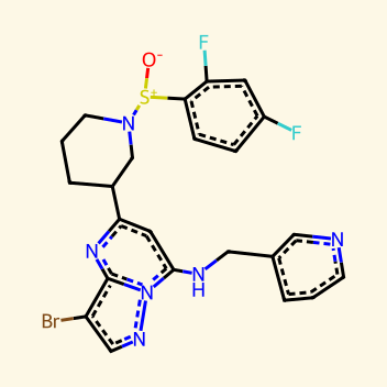 [O-][S+](c1ccc(F)cc1F)N1CCCC(c2cc(NCc3cccnc3)n3ncc(Br)c3n2)C1